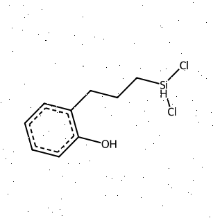 Oc1ccccc1CCC[SiH](Cl)Cl